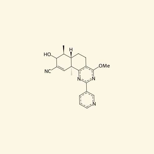 COc1nc(-c2cccnc2)nc2c1CC[C@H]1[C@H](C)C(O)C(C#N)=C[C@]21C